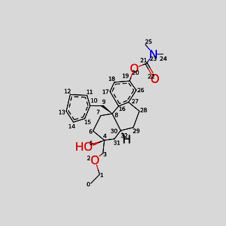 CCOC[C@]1(O)CC[C@]2(Cc3ccccc3)c3ccc(OC(=O)N(C)C)cc3CC[C@H]2C1